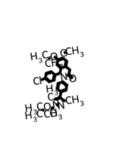 COc1cc2c(cc1OC(C)C)C(c1ccc(Cl)cc1)N(c1ccc(-c3c(C)nn(C(=O)OC(C)(C)C)c3C)cc1)C(=O)C2